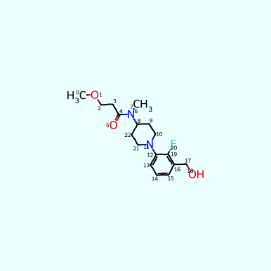 COCCC(=O)N(C)C1CCN(c2cccc(CO)c2F)CC1